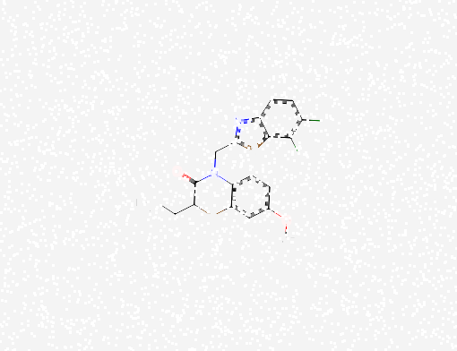 O=C(O)CC1Sc2cc(OC(F)(F)F)ccc2N(Cc2nc3ccc(F)c(F)c3s2)C1=O